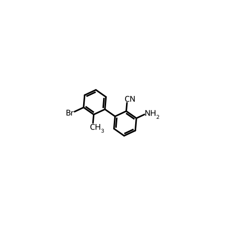 Cc1c(Br)cccc1-c1cccc(N)c1C#N